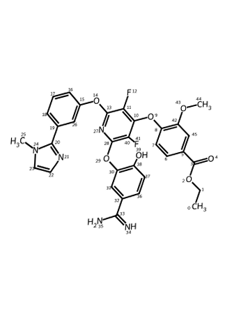 CCOC(=O)c1ccc(Oc2c(F)c(Oc3cccc(-c4nccn4C)c3)nc(Oc3cc(C(=N)N)ccc3O)c2F)c(OC)c1